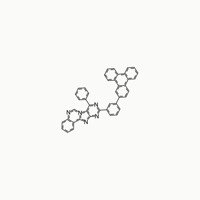 c1ccc(-c2nc(-c3cccc(-c4ccc5c6ccccc6c6ccccc6c5c4)c3)nc3nc4c5ccccc5ncn4c23)cc1